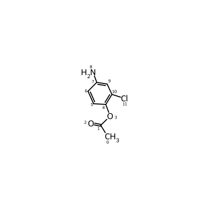 CC(=O)Oc1ccc(N)cc1Cl